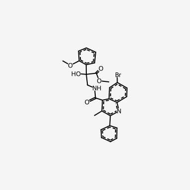 COC(=O)C(O)(CNC(=O)c1c(C)c(-c2ccccc2)nc2ccc(Br)cc12)c1ccccc1OC